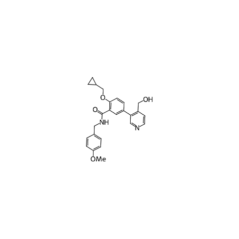 COc1ccc(CNC(=O)c2cc(-c3cnccc3CO)ccc2OCC2CC2)cc1